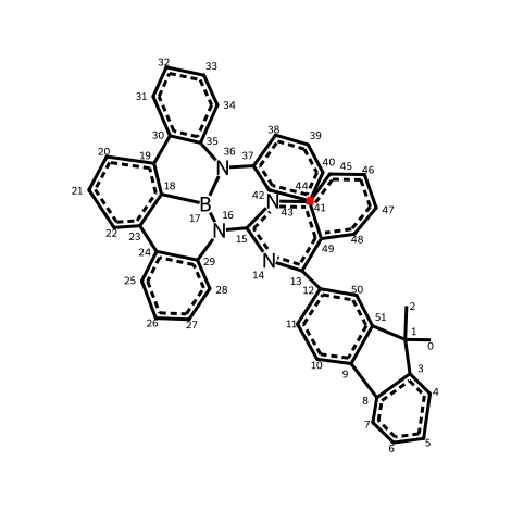 CC1(C)c2ccccc2-c2ccc(-c3nc(N4B5c6c(cccc6-c6ccccc64)-c4ccccc4N5c4ccccc4)nc4ccccc34)cc21